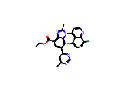 CCOC(=O)c1cc(-c2cc(C)ncn2)cc2c1nc(C)n2-c1ccnc2c(F)ccc(F)c12